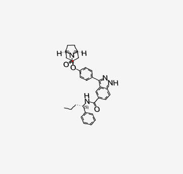 CCC[C@H](NC(=O)c1ccc2[nH]nc(-c3ccc(O[C@H]4C[C@H]5CC[C@@H](C4)N5C=O)cc3)c2c1)c1ccccc1